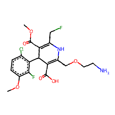 COC(=O)C1=C(CF)NC(COCCN)=C(C(=O)O)C1c1c(Cl)ccc(OC)c1F